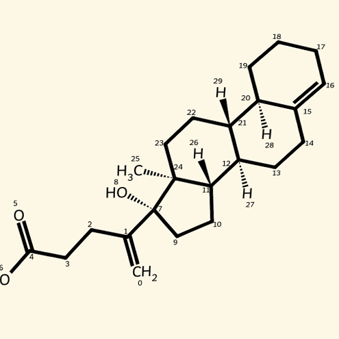 C=C(CCC(=O)O)[C@]1(O)CC[C@H]2[C@@H]3CCC4=CCCC[C@@H]4[C@H]3CC[C@@]21C